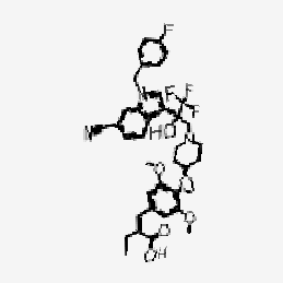 CC/C(=C/c1cc(OC)c(OC2CCN(CC(O)(c3cn(Cc4ccc(F)cc4)c4cc(C#N)ccc34)C(F)(F)F)CC2)c(OC)c1)C(=O)O